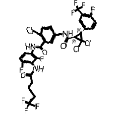 O=C(CCCC(F)(F)F)Nc1c(F)ccc(NC(=O)c2cc(NC(=O)[C@H]3[C@H](c4ccc(F)c(C(F)(F)F)c4)C3(Cl)Cl)ccc2Cl)c1F